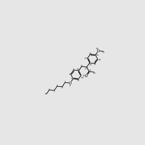 CCCCCCOc1ccc(CC(C(C)=O)c2ccc(OC)cc2)cc1